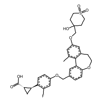 Cc1cc(OCC2(O)CCS(=O)(=O)CC2)cc2c1-c1cc(COc3ccc([C@H]4C[C@@H]4C(=O)O)c(F)c3)ccc1OCC2